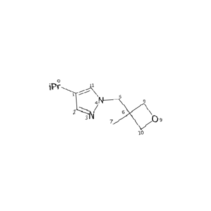 CC(C)c1cnn(CC2(C)COC2)c1